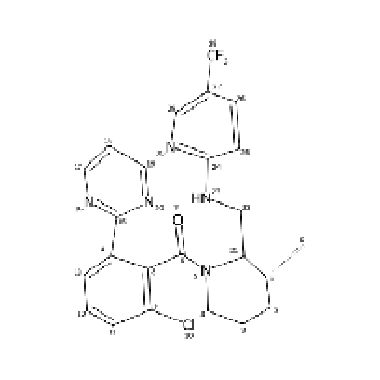 C[C@@H]1CCCN(C(=O)c2c(Cl)cccc2-c2ncccn2)C1CNc1ccc(C(F)(F)F)cn1